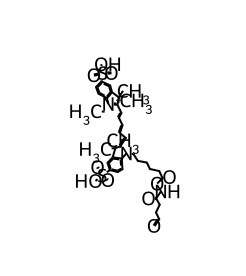 CC[N+]1=C(/C=C/C=C/C=C2/N(CCCCCC(=O)ONC(=O)CCC=O)c3ccc(S(=O)(=O)O)cc3C2(C)C)C(C)(C)c2cc(S(=O)(=O)O)ccc21